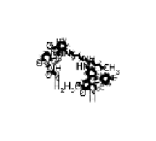 CCCCCC(NCCCCNc1cccc2c1C(=O)N(C1CCC(=O)N(CNC(=O)CN)C1=O)C2=O)Nc1ccc(Oc2ccc(F)cc2F)c(-c2cn(C)c(=O)c3[nH]ccc23)c1